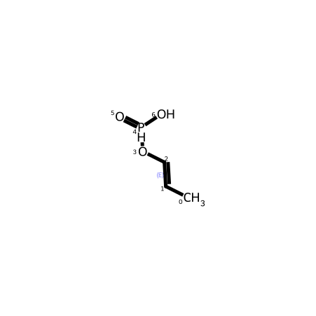 C/C=C/O[PH](=O)O